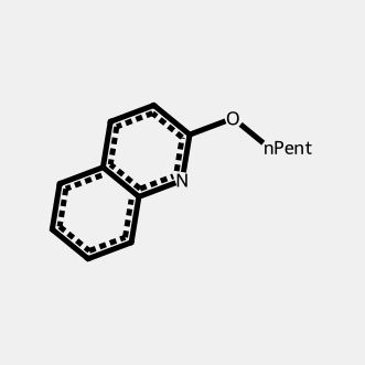 [CH2]CCCCOc1ccc2ccccc2n1